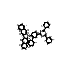 c1ccc(-c2nc(-c3ccccc3)nc(-c3ccc(-n4c5cc6ccccc6cc5c5cc6ccccc6cc54)c(-c4ccccc4)c3)n2)cc1